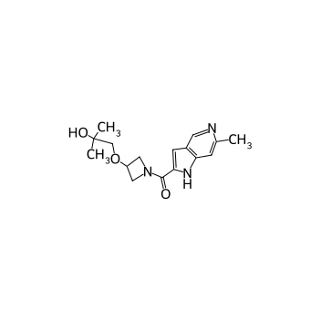 Cc1cc2[nH]c(C(=O)N3CC(OCC(C)(C)O)C3)cc2cn1